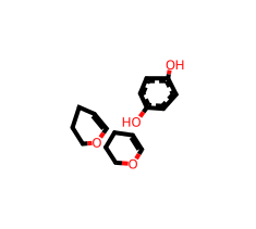 C1=COCCC1.C1=COCCC1.Oc1ccc(O)cc1